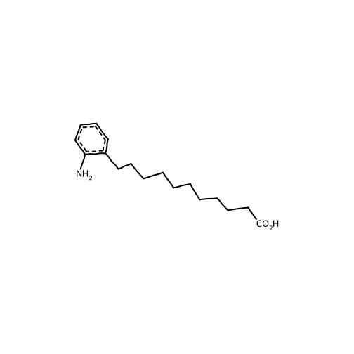 Nc1ccccc1CCCCCCCCCCC(=O)O